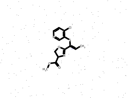 C/C=C(\Sc1cnccc1Cl)C1=NC(C(=O)OC)CO1